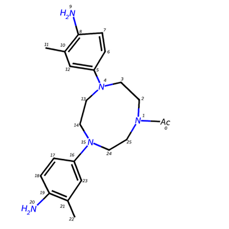 CC(=O)N1CCN(c2ccc(N)c(C)c2)CCN(c2ccc(N)c(C)c2)CC1